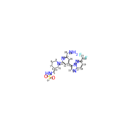 CS(=O)(=O)NC[C@H]1CCCN(c2cc(-c3cnc4ccc(C(F)F)nn34)cc(CN)n2)C1